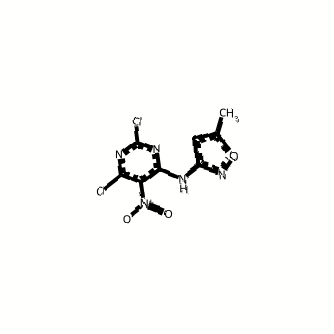 Cc1cc(Nc2nc(Cl)nc(Cl)c2[N+](=O)[O-])no1